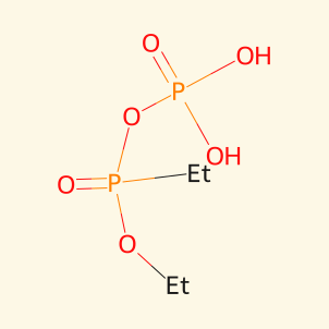 CCOP(=O)(CC)OP(=O)(O)O